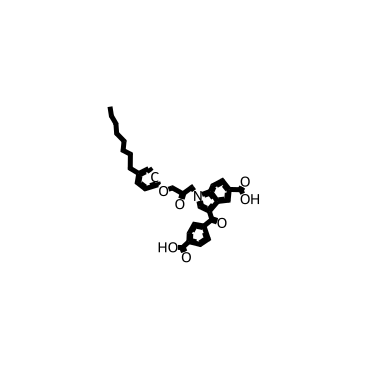 CCCCCCCCc1ccc(OCC(=O)Cn2cc(C(=O)c3ccc(C(=O)O)cc3)c3cc(C(=O)O)ccc32)cc1